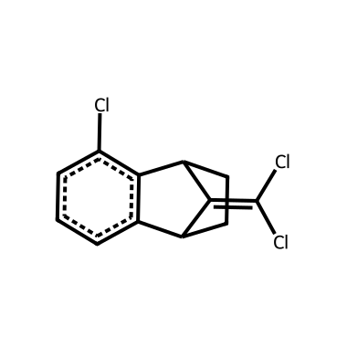 ClC(Cl)=C1C2CCC1c1c(Cl)cccc12